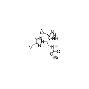 C1CC1c1nn[nH]n1.CC(C)(C)OC(=O)NCCn1nnc(C2CC2)n1